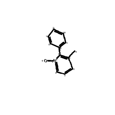 Cc1ccc[n+]([O-])c1-c1ccccc1